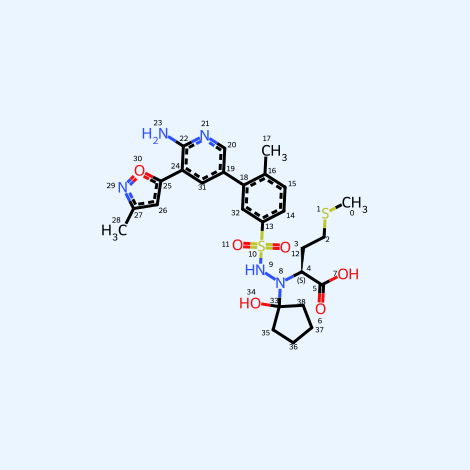 CSCC[C@@H](C(=O)O)N(NS(=O)(=O)c1ccc(C)c(-c2cnc(N)c(-c3cc(C)no3)c2)c1)C1(O)CCCC1